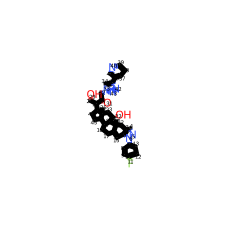 CC12Cc3cnn(-c4ccc(F)cc4)c3C=C1CCC1C2[C@@H](O)CC2(C)C(C(CO)C(=O)Cn3cc(-c4cccnc4)nn3)CCC12